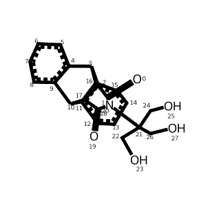 O=C1C2C3c4ccccc4C(c4ccccc43)C2C(=O)N1C(CO)(CO)CO